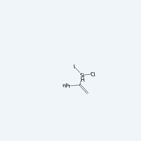 C=C(CCC)[SiH](Cl)I